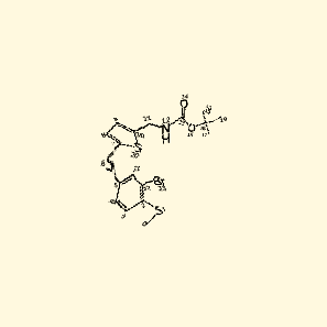 CSc1ccc(Sc2ccc(CNC(=O)OC(C)(C)C)s2)cc1Br